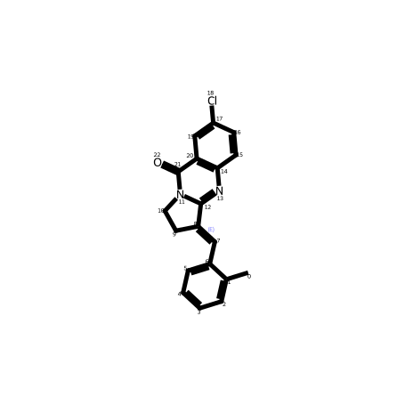 Cc1ccccc1/C=C1\CCn2c1nc1ccc(Cl)cc1c2=O